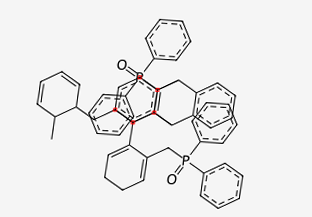 CC1C=CC=CC1CCC(C1=CCCC=C1CP(=O)(c1ccccc1)c1ccccc1)C1=C(P(=O)(c2ccccc2)c2ccccc2)C2c3ccccc3C1c1ccccc12